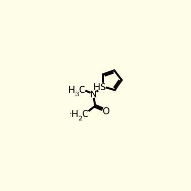 [CH2]C(=O)N(C)[SH]1C=CC=C1